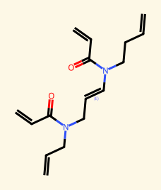 C=CCCN(/C=C/CN(CC=C)C(=O)C=C)C(=O)C=C